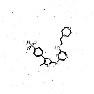 Cc1nc(Nc2cncc(NCCN3CCOCC3)n2)sc1-c1ccc(S(N)(=O)=O)cc1